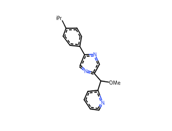 COC(c1ccccn1)c1cnc(-c2ccc(C(C)C)cc2)cn1